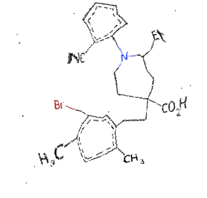 CCC1CC(Cc2cc(Br)c(C)cc2C)(C(=O)O)CCN1c1ccccc1C#N